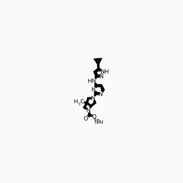 CC(C)(C)OC(=O)N1CC2(C)CN(c3nccc(Nc4cc(C5CC5)[nH]n4)n3)CC12